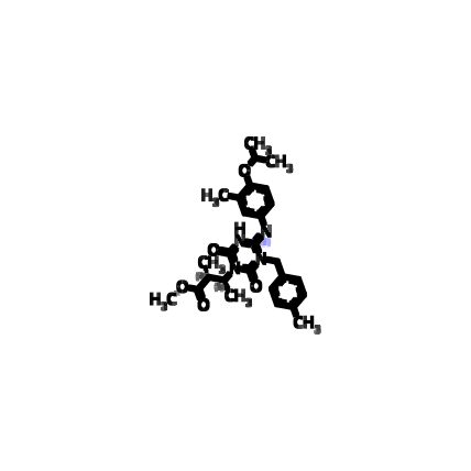 COC(=O)[C@H](C)[C@H](C)n1c(=O)[nH]/c(=N\c2ccc(OC(C)C)c(C)c2)n(Cc2ccc(C)cc2)c1=O